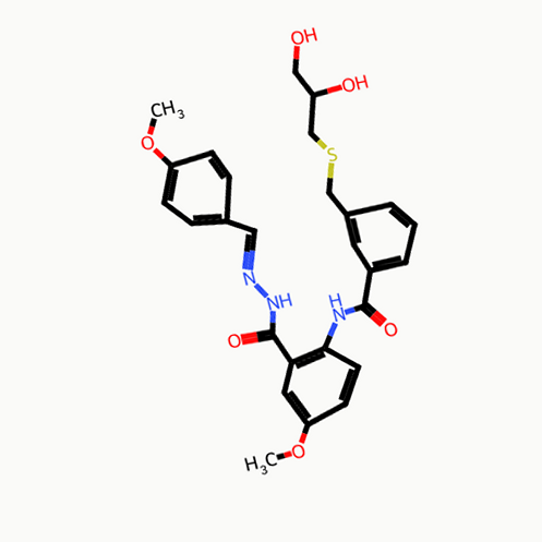 COc1ccc(/C=N/NC(=O)c2cc(OC)ccc2NC(=O)c2cccc(CSCC(O)CO)c2)cc1